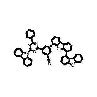 N#Cc1cc(-c2nc(-c3ccccc3)nc(-n3c4ccccc4c4ccccc43)n2)cc(-c2cccc3c2oc2c(-c4cccc5oc6ccccc6c45)cccc23)c1